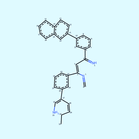 C=N/C(=C\C(=N)c1cccc(-c2ccc3ccccc3c2)c1)c1cccc(C(/C=C\CC)=C/N)c1